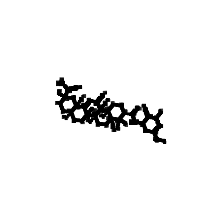 COC(=O)CC(NC(=O)[C@H]1CC[C@]2(C)[C@H]3C(=O)C=C4[C@@H]5C[C@@](C)(C(=O)O)CC[C@]5(C)CC[C@@]4(C)[C@]3(C)CC[C@H]2C1(C)C)C(=O)OC